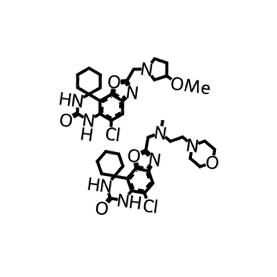 CN(CCN1CCOCC1)Cc1nc2cc(Cl)c3c(c2o1)C1(CCCCC1)NC(=O)N3.COC1CCN(Cc2nc3cc(Cl)c4c(c3o2)C2(CCCCC2)NC(=O)N4)C1